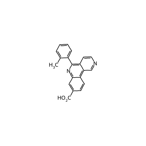 Cc1ccccc1-c1nc2cc(C(=O)O)ccc2c2cnccc12